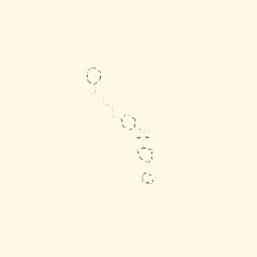 CCCCCc1nc(-c2ccc(S(=O)(=O)Nc3ccc(CCNCC(O)c4cccnc4)cc3)cc2)co1